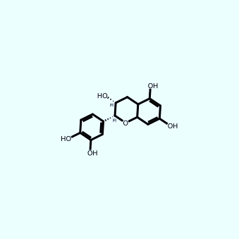 OC1=CC2O[C@H](c3ccc(O)c(O)c3)[C@H](O)CC2C(O)=C1